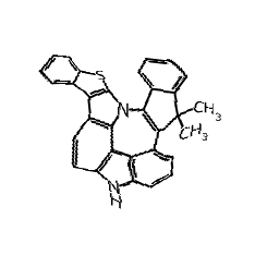 CC1(C)c2ccccc2-c2c1c1cccc3[nH]c4ccc5c6c7ccccc7sc6n2c5c4c31